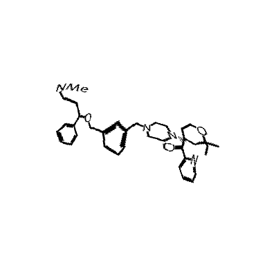 CNCCC(OCc1cccc(CN2CCN([C@]3(C(=O)c4ccccn4)CCOC(C)(C)C3)CC2)c1)c1ccccc1